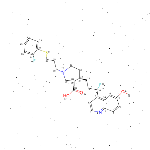 COc1ccc2nccc(C(F)CC[C@@H]3CCN(CCCSc4ccccc4F)C[C@@H]3C(=O)O)c2c1